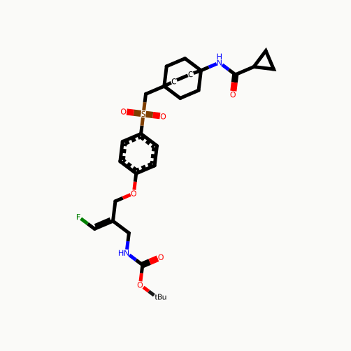 CC(C)(C)OC(=O)NC/C(=C/F)COc1ccc(S(=O)(=O)CC23CCC(NC(=O)C4CC4)(CC2)CC3)cc1